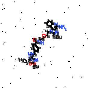 CCCCc1nc2c(N)nc3ccccc3c2n1CCOCCNC(=O)c1ccc(CN/C(=N/C(=O)O)NC(=O)OC(C)(C)C)cc1